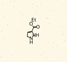 CCOC(=O)C1=CCNN1